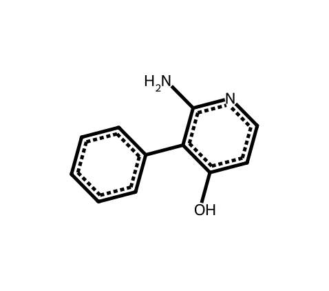 Nc1nccc(O)c1-c1ccccc1